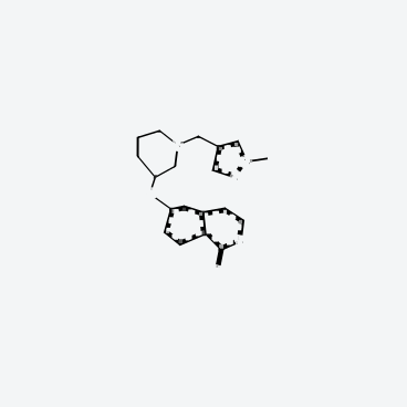 Cn1cc(CN2CCCC(Oc3ccc4c(=O)[nH]ccc4c3)C2)cn1